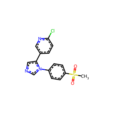 CS(=O)(=O)c1ccc(-n2cncc2-c2ccc(Cl)nc2)cc1